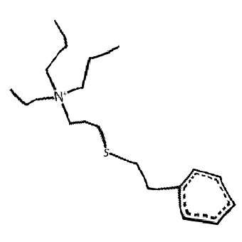 CCC[N+](CC)(CCC)CCSCCc1ccccc1